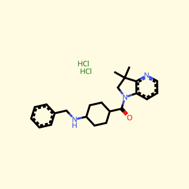 CC1(C)CN(C(=O)C2CCC(NCc3ccccc3)CC2)c2cccnc21.Cl.Cl